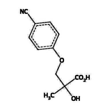 CC(O)(COc1ccc(C#N)cc1)C(=O)O